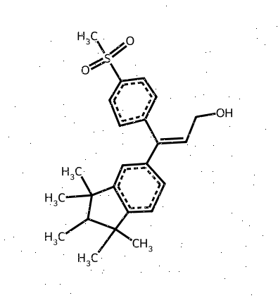 CC1C(C)(C)c2ccc(C(=CCO)c3ccc(S(C)(=O)=O)cc3)cc2C1(C)C